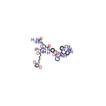 Cc1cccc(-c2nc(C3CCCCN3C(=O)OCc3ccc(NC(=O)C(CCCNC(N)=O)NC(=O)C(NC(=O)CCCCCN4C(=O)C=CC4=O)C(C)C)cc3)[nH]c2-c2ccc3ncnn3c2)n1